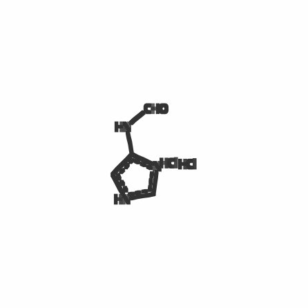 Cl.Cl.O=CNc1c[nH]cn1